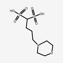 O=S(=O)(O)C(CCCN1CCOCC1)S(=O)(=O)O